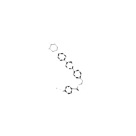 CC[C@H]1CC[C@H](c2ccc(-c3cnc(-c4ccc(C[C@H](NC(=O)c5ccc(OC(C)C)cc5)C(=O)O)cc4)nc3)cc2)CC1